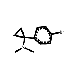 CN(C)C1(c2ccc(Br)cc2)CC1